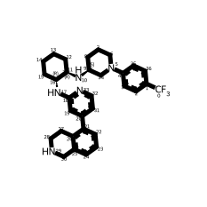 FC(F)(F)c1ccc(N2CCC[C@H](N[C@@H]3CCCC[C@H]3Nc3cc(-c4cccc5c4CCNC5)ccn3)C2)cc1